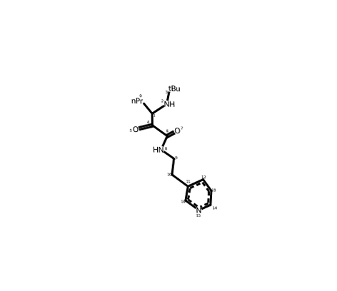 CCCC(NC(C)(C)C)C(=O)C(=O)NCCc1cccnc1